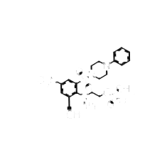 C#Cc1cc([N+](=O)[O-])cc(S(=O)(=O)N2CCN(c3ccccc3)CC2)c1N(CCC)CCOS(C)(=O)=O